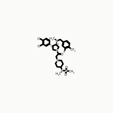 CN(Cc1ccc(C(F)(F)F)c(F)c1)[C@H]1CN(C(=O)CN2CCC(N(C)S(C)(=O)=O)CC2)C[C@@H]1c1ccc(Cl)c(Cl)c1